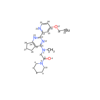 CN(CC(=O)N1CCCCC1)c1nc(-c2cc(OCC(C)(C)C)ccn2)nc2c1CCC2